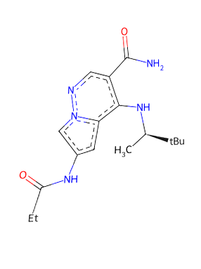 CCC(=O)Nc1cc2c(N[C@H](C)C(C)(C)C)c(C(N)=O)cnn2c1